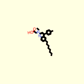 CCCCCCCCc1ccc2nc(N(CC)CC(=O)O)cc(-c3ccc(C)cc3)c2c1